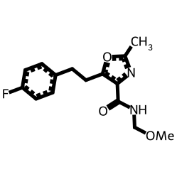 COCNC(=O)c1nc(C)oc1CCc1ccc(F)cc1